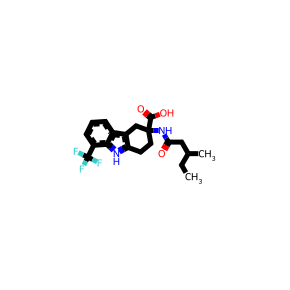 CCC(C)CC(=O)NC1(C(=O)O)CCc2[nH]c3c(C(F)(F)F)cccc3c2C1